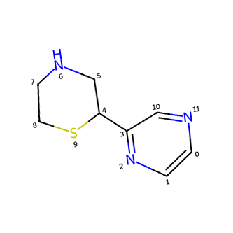 c1cnc(C2CNCCS2)cn1